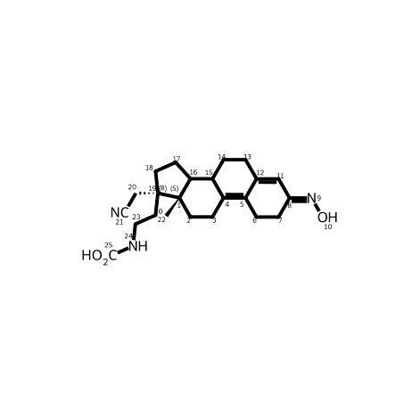 C[C@]12CCC3=C4CCC(=NO)C=C4CCC3C1CC[C@]2(CC#N)CCNC(=O)O